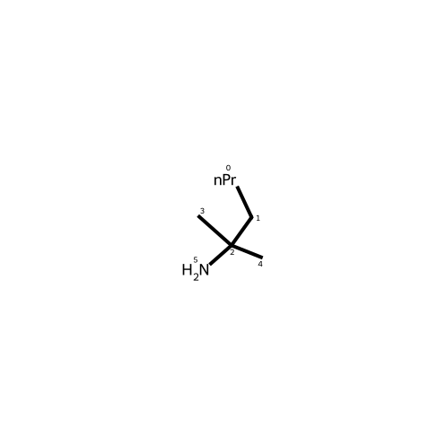 C[CH]CCC(C)(C)N